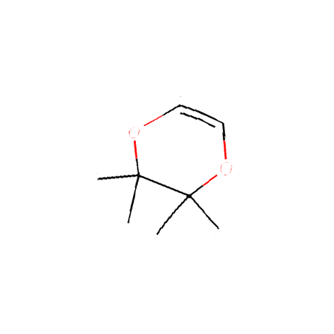 CC1(C)OC=COC1(C)C